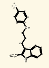 O=C(O)c1[nH]c2ccccc2c1CCCOc1ccc(C(F)(F)F)cc1